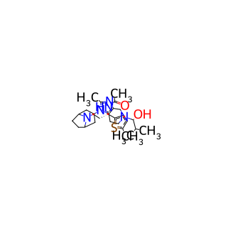 CC(=O)N[C@@H](CCN1C2CCC1CC(n1c(C)nc3c1CCN(C(O)C(C)C)C3)C2)c1ccc(C)s1